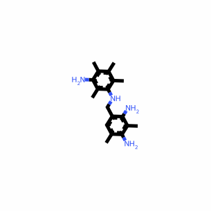 Cc1cc(CNc2c(C)c(C)c(C)c(N)c2C)c(N)c(C)c1N